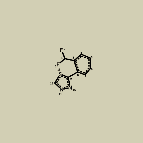 FC(F)c1ccccc1-c1nncs1